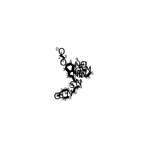 COCCOc1cc(N(C)S(=O)(=O)c2nccn2C)c2[nH]c(C3=NCC(CN4CC[S+]([O-])CC4)S3)cc2c1